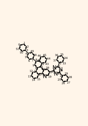 c1ccc(-c2ccc(-c3cc4c5ccccc5c5ncc(-c6nc(-c7ccccc7)nc(-c7ccccc7)n6)cc5c4c4ccccc34)cc2)cc1